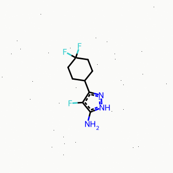 Nc1[nH]nc(C2CCC(F)(F)CC2)c1F